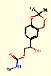 CC(C)(C)NC(=O)OCC(O)c1ccc2c(c1)COC(C)(C)O2